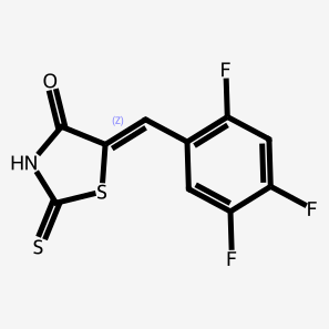 O=C1NC(=S)S/C1=C\c1cc(F)c(F)cc1F